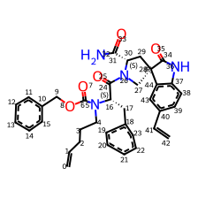 C=CCCCN(C(=O)OCc1ccccc1)[C@@H](Cc1ccccc1)C(=O)N1C[C@]2(C[C@H]1C(N)=O)C(=O)Nc1ccc(C=C)cc12